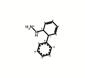 NNC1C=CC=CC1c1ccccc1